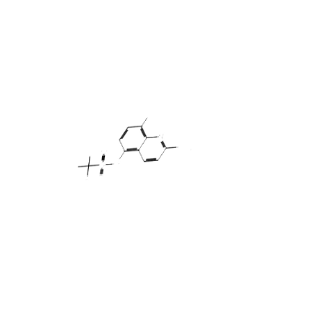 Cc1ccc2c(OS(=O)(=O)C(F)(F)F)ccc(F)c2n1